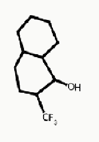 OC1C2CCCCC2CCC1C(F)(F)F